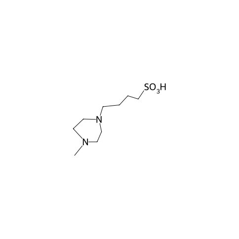 CN1CCN(CCCCS(=O)(=O)O)CC1